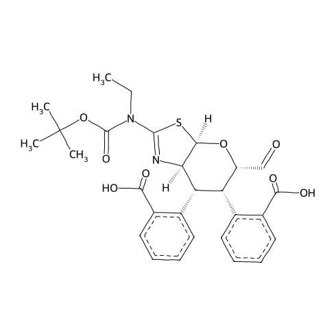 CCN(C(=O)OC(C)(C)C)C1=N[C@@H]2[C@@H](c3ccccc3C(=O)O)[C@@H](c3ccccc3C(=O)O)[C@@H](C=O)O[C@@H]2S1